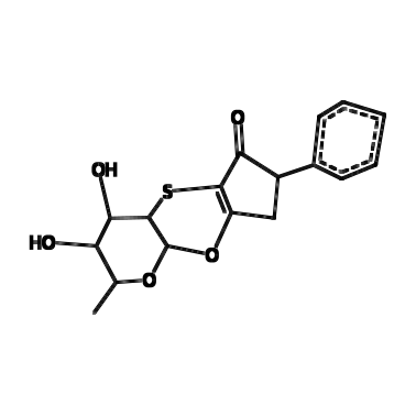 CC1OC2OC3=C(SC2C(O)C1O)C(=O)C(c1ccccc1)C3